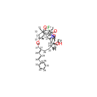 CC[C@H]1OC(=O)[C@@](C)(F)C(=O)[C@H](C)[C@@H](C)[C@@]2(C)C[C@@H](C)/C(=N\C(C)=O)[C@H](C)[C@@H](CC/C(=C\C=C\c3ccccc3)CO2)[C@]1(C)O